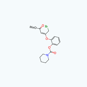 COC(=O)/C=C(\CBr)Oc1ccccc1OC(=O)N1CCCCC1